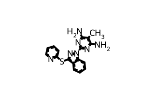 Cc1c(N)nc(-n2nc(Sc3ccccn3)c3ccccc32)nc1N